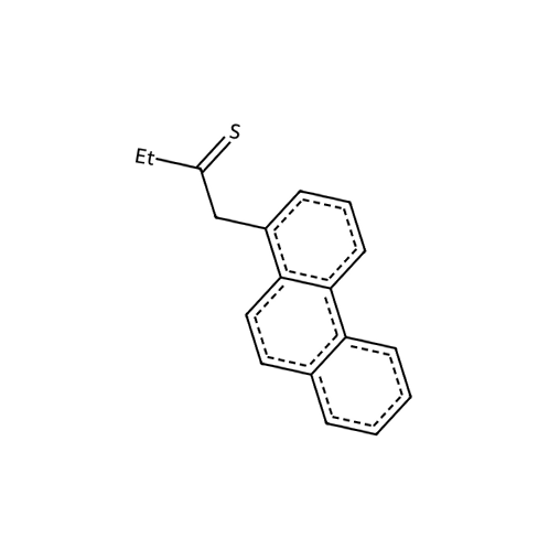 CCC(=S)Cc1cccc2c1ccc1ccccc12